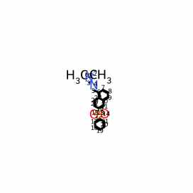 CN(C)C=NCc1cccc2cc(S(=O)(=O)c3ccccc3)ccc12